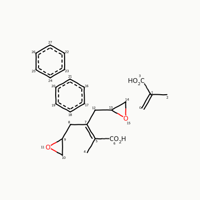 C=C(C)C(=O)O.CC(C(=O)O)=C(CC1CO1)CC1CO1.c1ccccc1.c1ccccc1